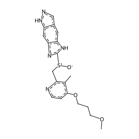 COCCCOc1ccnc(C[S+]([O-])c2nc3cc4[nH]ncc4cc3[nH]2)c1C